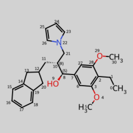 CCc1c(OC)cc([C@@H](O)[C@H](CC2Cc3ccccc3C2)Cn2c[c]cc2)cc1OC